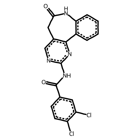 O=C1Cc2cnc(NC(=O)c3ccc(Cl)c(Cl)c3)nc2-c2ccccc2N1